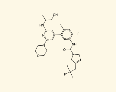 Cc1cc(F)c(NC(=O)N2CC=C(CC(F)(F)F)C2)cc1-c1cc(NC(C)CO)nc(N2CCOCC2)c1